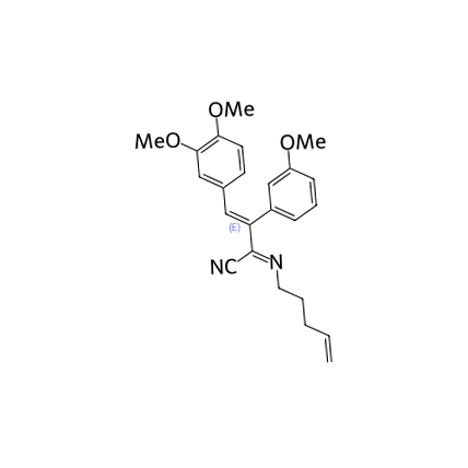 C=CCCCN=C(C#N)/C(=C/c1ccc(OC)c(OC)c1)c1cccc(OC)c1